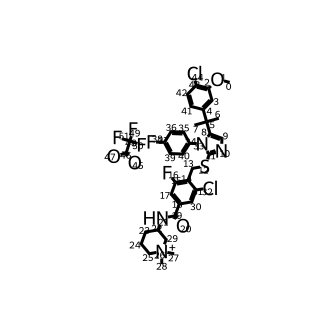 COc1cc(C(C)(C)c2cnc(SCc3c(F)cc(C(=O)NC4CCC[N+](C)(C)C4)cc3Cl)n2-c2ccc(F)cc2)ccc1Cl.O=C([O-])C(F)(F)F